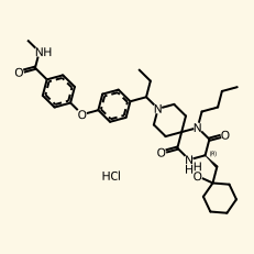 CCCCN1C(=O)[C@@H](CC2(O)CCCCC2)NC(=O)C12CCN(C(CC)c1ccc(Oc3ccc(C(=O)NC)cc3)cc1)CC2.Cl